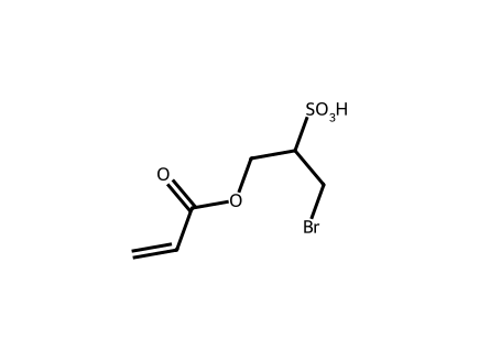 C=CC(=O)OCC(CBr)S(=O)(=O)O